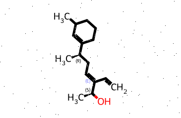 C=C/C(=C\C[C@@H](C)C1=CC(C)CCC1)[C@H](C)O